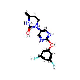 C=C1CCN(c2cnc(Oc3cc(F)cc(F)c3)nc2)C(=O)N1